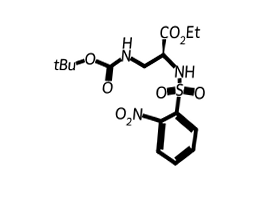 CCOC(=O)[C@H](CNC(=O)OC(C)(C)C)NS(=O)(=O)c1ccccc1[N+](=O)[O-]